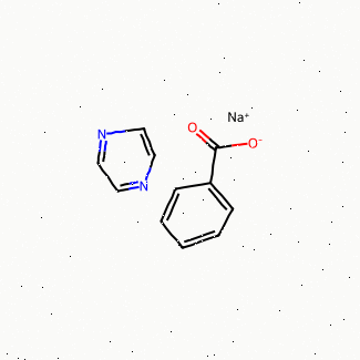 O=C([O-])c1ccccc1.[Na+].c1cnccn1